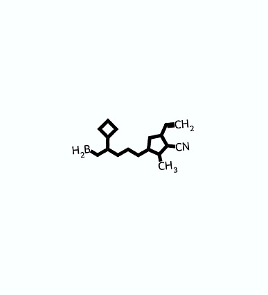 BCC(CCCC1CC(C=C)C(C#N)C1C)C1CCC1